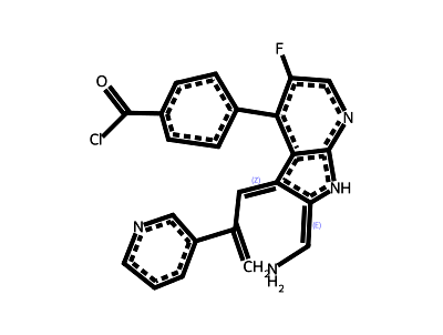 C=C(/C=c1\c(=C/N)[nH]c2ncc(F)c(-c3ccc(C(=O)Cl)cc3)c12)c1cccnc1